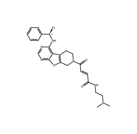 CC[C@@H](Nc1ncnc2sc3c(c12)CCN(C(=O)/C=C/C(=O)NCCN(C)C)C3)c1ccccc1